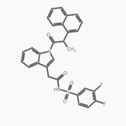 CC(C(=O)n1cc(CC(=O)NS(=O)(=O)c2ccc(F)c(F)c2)c2ccccc21)c1cccc2ccccc12